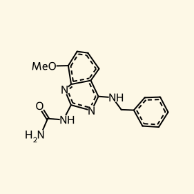 COc1cccc2c(NCc3ccccc3)nc(NC(N)=O)nc12